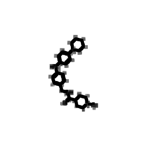 CC(=O)N1CCC(C(=O)NCc2ccc(Nc3ccc(N4CCCCC4)cc3)cc2)CC1